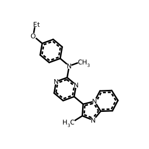 CCOc1ccc(N(C)c2nccc(-c3c(C)nc4ccccn34)n2)cc1